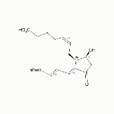 CCCCC/C=C/C=C1/C(=O)C[C@H](O)[C@@H]1C/C=C\CCCC(=O)O